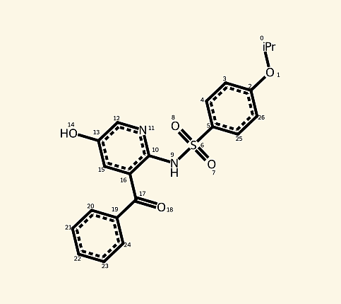 CC(C)Oc1ccc(S(=O)(=O)Nc2ncc(O)cc2C(=O)c2ccccc2)cc1